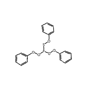 c1ccc(OOP(OOc2ccccc2)SOc2ccccc2)cc1